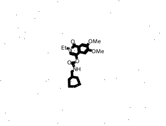 CCn1cc(OC(=O)NCC2CCCCC2)c2cc(OC)c(OC)cc2c1=O